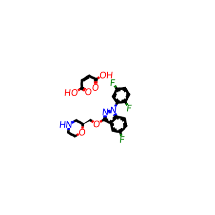 Fc1ccc(F)c(-n2nc(OC[C@@H]3CNCCO3)c3cc(F)ccc32)c1.O=C(O)/C=C\C(=O)O